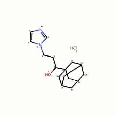 Cl.OC(CCn1ccnc1)C12CC3CC(CC(C3)C1)C2